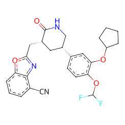 N#Cc1cccc2oc(C[C@H]3C[C@@H](c4ccc(OC(F)F)c(OC5CCCC5)c4)CNC3=O)nc12